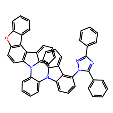 c1ccc(-c2nc(-c3ccccc3)n(-c3cccc4c3c3ccccc3n4-c3ccccc3-n3c4ccccc4c4c5c(ccc43)oc3ccccc35)n2)cc1